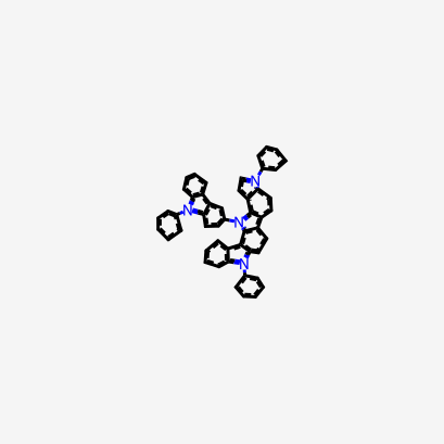 c1ccc(-n2ccc3c2ccc2c4ccc5c(c6ccccc6n5-c5ccccc5)c4n(-c4ccc5c(c4)c4ccccc4n5-c4ccccc4)c23)cc1